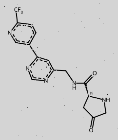 O=C1CN[C@H](C(=O)NCc2cc(-c3ccc(C(F)(F)F)nc3)ncn2)C1